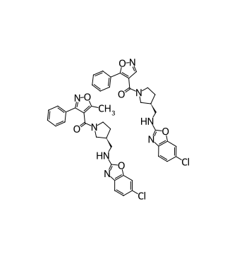 Cc1onc(-c2ccccc2)c1C(=O)N1CC[C@@H](CNc2nc3ccc(Cl)cc3o2)C1.O=C(c1cnoc1-c1ccccc1)N1CC[C@@H](CNc2nc3ccc(Cl)cc3o2)C1